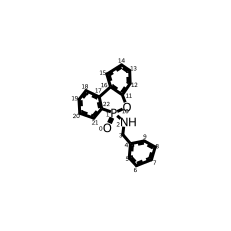 O=P1(NCc2ccccc2)Oc2ccccc2-c2ccccc21